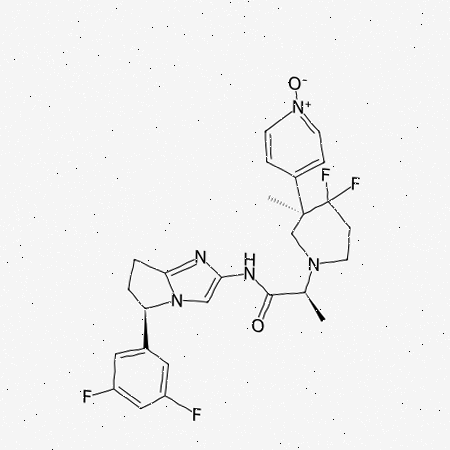 C[C@@H](C(=O)Nc1cn2c(n1)CC[C@@H]2c1cc(F)cc(F)c1)N1CCC(F)(F)[C@](C)(c2cc[n+]([O-])cc2)C1